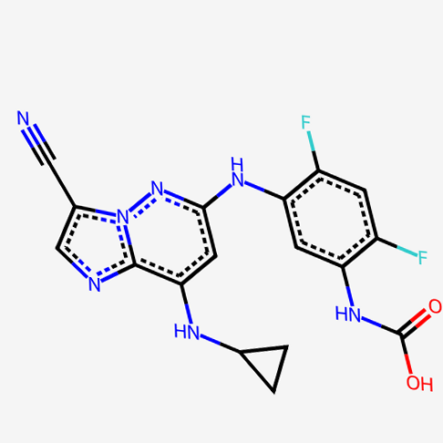 N#Cc1cnc2c(NC3CC3)cc(Nc3cc(NC(=O)O)c(F)cc3F)nn12